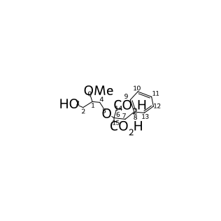 COC(CO)COC(Cc1ccccc1)(C(=O)O)C(=O)O